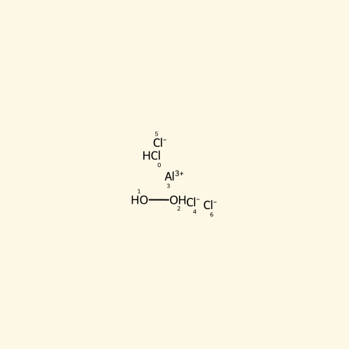 Cl.OO.[Al+3].[Cl-].[Cl-].[Cl-]